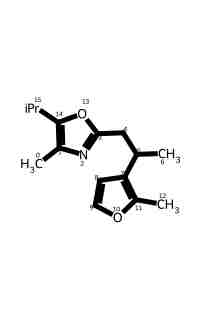 Cc1nc(CC(C)c2ccoc2C)oc1C(C)C